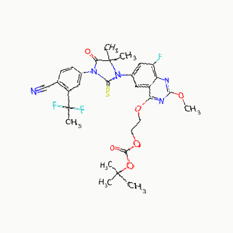 COc1nc(OCCOC(=O)OC(C)(C)C)c2cc(N3C(=S)N(c4ccc(C#N)c(C(C)(F)F)c4)C(=O)C3(C)C)cc(F)c2n1